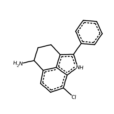 NC1CCc2c(-c3ccccc3)[nH]c3c(Cl)ccc1c23